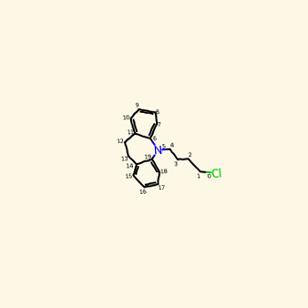 ClCCCCN1c2ccccc2CCc2ccccc21